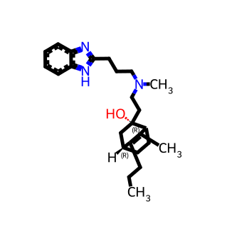 CCCC1=C(C)C2CC[C@@H]1C[C@@]2(O)CCN(C)CCCc1nc2ccccc2[nH]1